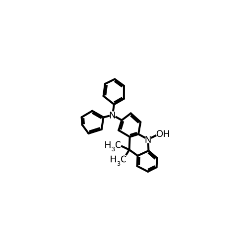 CC1(C)c2ccccc2N(O)c2ccc(N(c3ccccc3)c3ccccc3)cc21